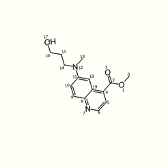 COC(=O)c1ccnc2ccc(N(C)CCCO)cc12